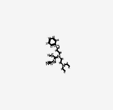 CCN(CC)CCN(CCOc1ccccc1)C(=NC#N)SC